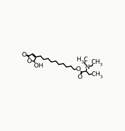 CCC(C(=O)OCCCCCCCCCCC1=CC(=O)OC1O)N(CC)CC